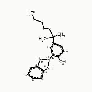 CCCCCC(C)(C)c1ccc(O)c(N2Nc3ccccc3N2)c1